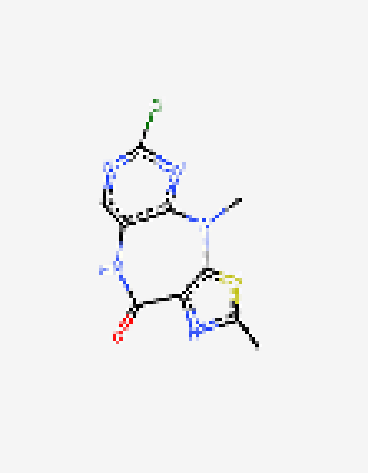 Cc1nc2c(s1)N(C)c1nc(Cl)ncc1NC2=O